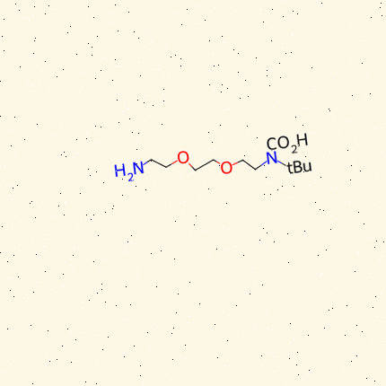 CC(C)(C)N(CCOCCOCCN)C(=O)O